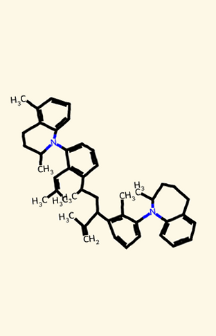 C=C(C)C(CC(C)c1cccc(N2c3cccc(C)c3CCC2C)c1C=C(C)C)c1cccc(N2c3ccccc3CCCC2C)c1C